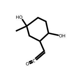 CC1(O)CCC(O)C(C=C=O)C1